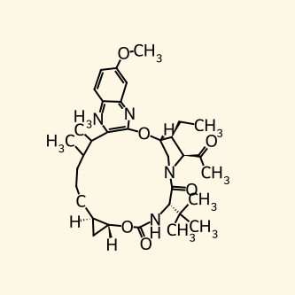 CC[C@@H]1[C@@H]2CN(C(=O)[C@H](C(C)(C)C)NC(=O)O[C@@H]3C[C@H]3CCCC(C)C(C)c3nc4ccc(OC)cc4nc3O2)[C@@H]1C(C)=O